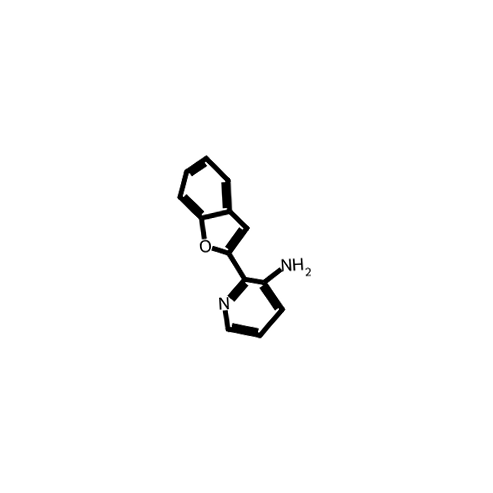 Nc1cccnc1-c1cc2ccccc2o1